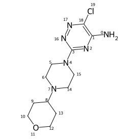 Nc1nc(N2CCN(C3CCOCC3)CC2)nnc1Cl